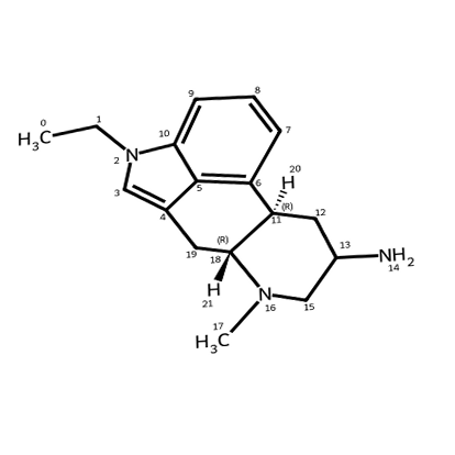 CCn1cc2c3c(cccc31)[C@H]1CC(N)CN(C)[C@@H]1C2